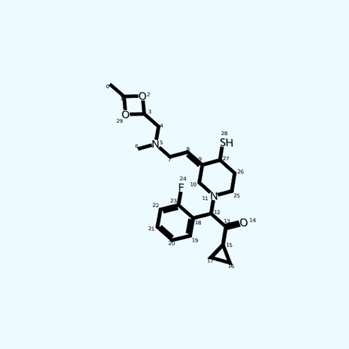 CC1OC(CN(C)C/C=C2\CN(C(C(=O)C3CC3)c3ccccc3F)CCC2S)O1